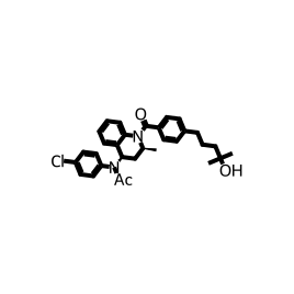 CC(=O)N(c1ccc(Cl)cc1)[C@@H]1C[C@H](C)N(C(=O)c2ccc(CCCC(C)(C)O)cc2)c2ccccc21